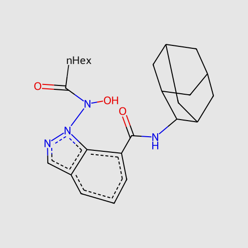 CCCCCCC(=O)N(O)n1ncc2cccc(C(=O)NC3C4CC5CC(C4)CC3C5)c21